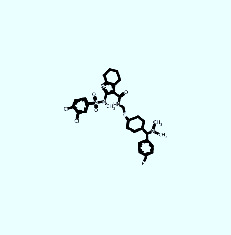 CN(C)C(c1ccc(F)cc1)C1CCC(CCNC(=O)c2c(N(C)S(=O)(=O)c3ccc(Cl)c(Cl)c3)sc3c2CCCC3)CC1